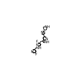 Fc1cncc(CNc2ccc(Cc3c[nH]c4ncc(-c5cnn(C6CCNCC6)c5)cc34)c(F)n2)c1